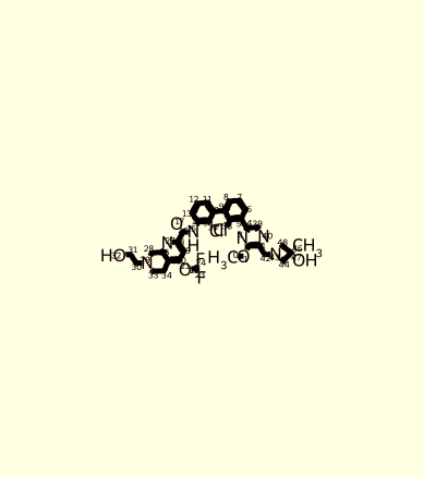 COc1nc(-c2cccc(-c3cccc(NC(=O)c4cc(OC(F)F)c5c(n4)CN(CCO)CC5)c3Cl)c2Cl)cnc1CN1CC(C)(O)C1